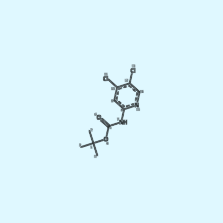 CC(C)(C)OC(=O)Nc1cc(Cl)c(Cl)cn1